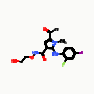 CCC(=O)c1cc(C(=O)NOCCO)c(Nc2ccc(I)cc2F)n1C